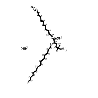 Br.CCCCCCCCCCCCCCOC(O)C(CCC(C)(C)N)OCCCCCCCCCCCCCC